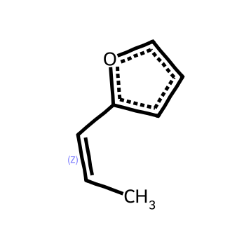 C/C=C\c1ccco1